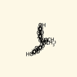 CC(C)Oc1nc(Oc2ccc(S(=O)(=O)c3ccc(O)cc3)cc2)nc(Oc2ccc(S(=O)(=O)c3ccc(O)cc3)cc2)n1